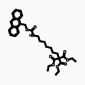 CCOC(=O)C(CCCCCCCNC(=O)OCc1c2ccccc2cc2ccccc12)(C(=O)OCC)C(=O)OCC